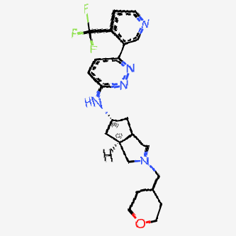 FC(F)(F)c1ccncc1-c1ccc(N[C@@H]2CC3CN(CC4CCOCC4)C[C@H]3C2)nn1